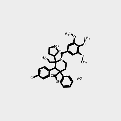 CCC1(C2CCNC2)C(c2ccc(Cl)cc2)C(C(N)=O)(c2ccccc2)CCN1C(=O)c1cc(OC)c(OC)c(OC)c1.Cl